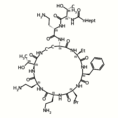 CCCCCCCC(=O)N[C@H](C(=O)N[C@@H](CCN)C(=O)N[C@H]1CCNC(=O)[C@H]([C@@H](C)O)NC(=O)[C@H](CCN)NC(=O)[C@H](CCN)NC(=O)[C@H](CC(C)C)NC(=O)[C@H](Cc2ccccc2)NC(=O)[C@H](CC)NC1=O)[C@@H](C)O